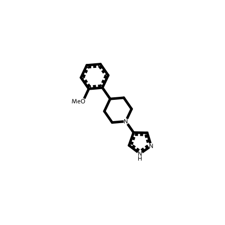 COc1ccccc1C1CCN(c2cn[nH]c2)CC1